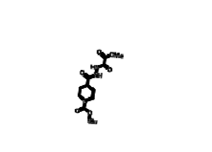 COC(=O)C(=O)NNC(=O)C1CCN(C(=O)OC(C)(C)C)CC1